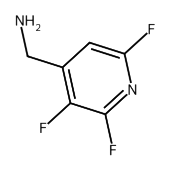 NCc1cc(F)nc(F)c1F